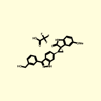 COc1ccc2c(c1)[C@]1(C[C@H]1c1ccc3c(-c4cccc(CO)c4)n[nH]c3c1)C(=O)N2.O=C(O)C(F)(F)F